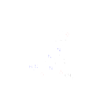 COc1ccc(N2CCC3(CCOC3)C2)c2ncc(C(N)=O)nc12